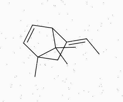 CC=C1CC2(C)C=CC1C2(C)C